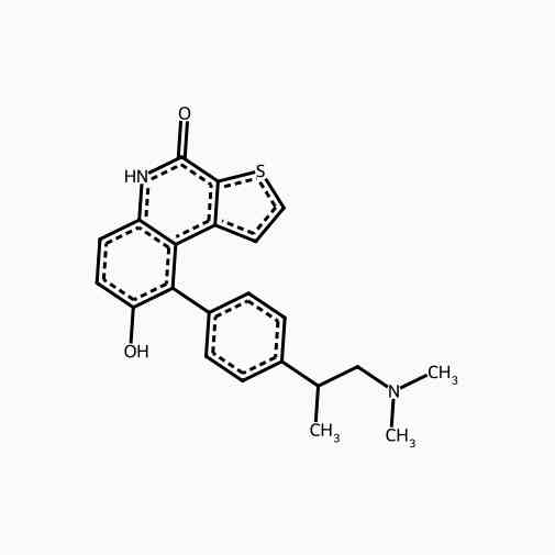 CC(CN(C)C)c1ccc(-c2c(O)ccc3[nH]c(=O)c4sccc4c23)cc1